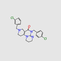 O=C1C2=C(CCN(Cc3cccc(Cl)c3)C2)N2CCCN=C2N1Cc1ccc(Cl)cc1